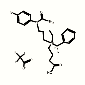 CC[N+](CCCC(=O)O)(CCCN(C(N)=O)c1ccc(Br)cc1)[C@@H](C)c1ccccc1.O=C([O-])C(F)(F)F